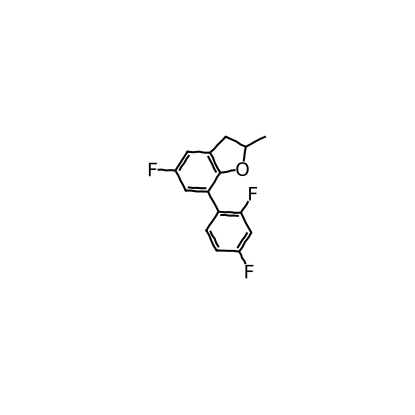 CC1Cc2cc(F)cc(-c3ccc(F)cc3F)c2O1